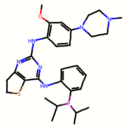 COc1cc(N2CCN(C)CC2)ccc1Nc1nc2c(c(Nc3ccccc3P(C(C)C)C(C)C)n1)SCC2